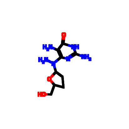 Nc1nc(N(N)C2CCC(CO)O2)c(N)c(=O)[nH]1